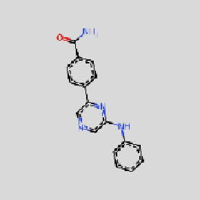 NC(=O)c1ccc(-c2cncc(Nc3ccccc3)n2)cc1